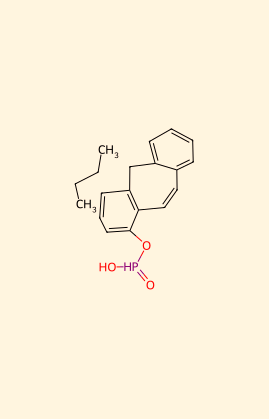 CCCC.O=[PH](O)Oc1cccc2c1C=Cc1ccccc1C2